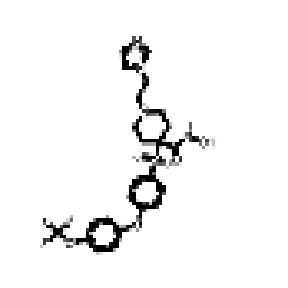 O=C(NO)C1(S(=O)(=O)c2ccc(Oc3ccc(OC(F)(F)F)cc3)cc2)CCN(CCn2ccnc2)CC1